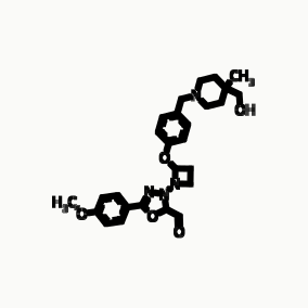 COc1ccc(C2=NN(N3CCC3Oc3ccc(CN4CCC(C)(CO)CC4)cc3)C(C=O)O2)cc1